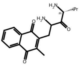 CC1=C(CC(N)C(=O)[C@H](N)C(C)C)C(=O)c2ccccc2C1=O